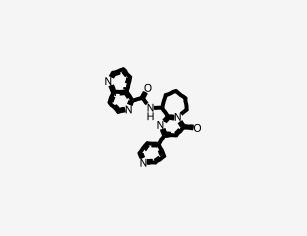 O=C(NC1CCCCn2c1nc(-c1ccncc1)cc2=O)c1nccc2ncccc12